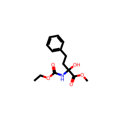 CCOC(=O)NC(O)(CCc1ccccc1)C(=O)OC